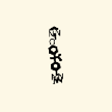 CC(C)C(C)(c1ccc(OCc2ncccn2)cc1)c1ccc(-c2nnn(C)n2)cc1